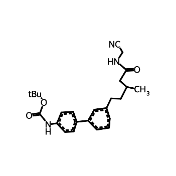 CC(CCc1cccc(-c2ccc(NC(=O)OC(C)(C)C)cc2)c1)CC(=O)NCC#N